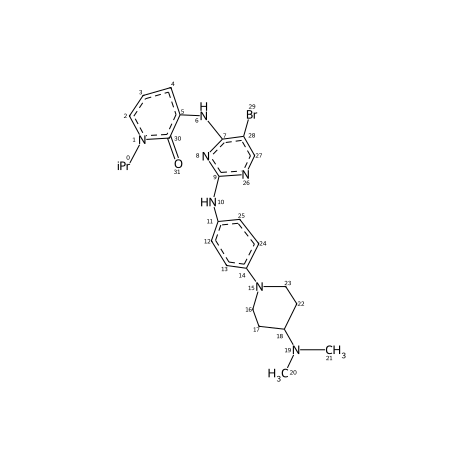 CC(C)n1cccc(Nc2nc(Nc3ccc(N4CCC(N(C)C)CC4)cc3)ncc2Br)c1=O